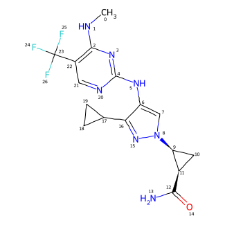 CNc1nc(Nc2cn([C@H]3C[C@H]3C(N)=O)nc2C2CC2)ncc1C(F)(F)F